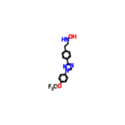 ONCCc1ccc(-c2ncn(-c3ccc(OC(F)(F)F)cc3)n2)cc1